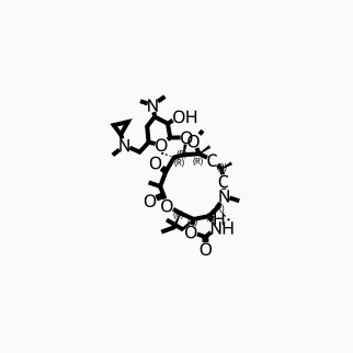 CC[C@H]1OC(=O)C(C)C(=O)[C@H](C)[C@@H](OC2OC(CN(C)C3CC3)CC(N(C)C)C2O)[C@](C)(OC)C[C@@H](C)CN(C)[C@H](C)[C@H]2NC(=O)O[C@@]21CC